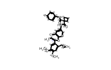 C=NNc1cc(OC)c(OC)cc1/C(=C\C)Oc1ncc(NC(=O)C2(C(=O)Nc3ccc(F)cc3)CCC2)cc1Cl